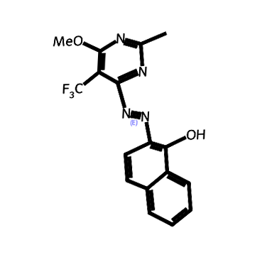 COc1nc(C)nc(/N=N/c2ccc3ccccc3c2O)c1C(F)(F)F